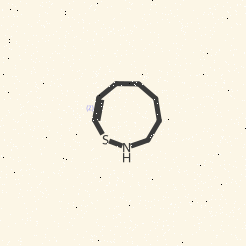 C1=C\SNCCCCC/1